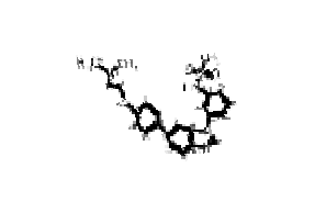 CN(C)CCSc1ccc(-c2ccc3ncn(-c4cccc(NS(C)(=O)=O)c4)c3c2)cc1